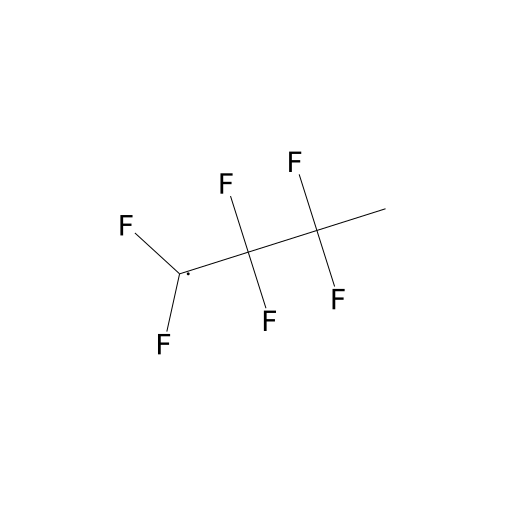 CC(F)(F)C(F)(F)[C](F)F